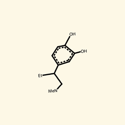 CCC(CNC)c1ccc(O)c(O)c1